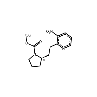 CC(C)(C)OC(=O)N1CCC[C@@H]1COc1ncccc1[N+](=O)[O-]